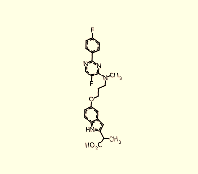 CC(C(=O)O)c1cc2cc(OCCCN(C)c3nc(-c4ccc(F)cc4)ncc3F)ccc2[nH]1